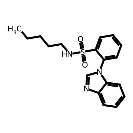 CCCCCNS(=O)(=O)c1ccccc1-n1cnc2ccccc21